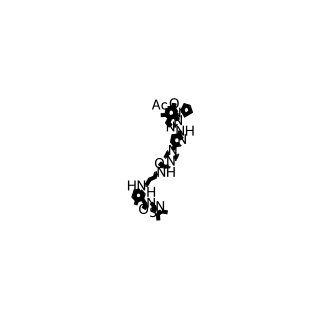 CC(=O)c1c(C)c2cnc(Nc3ccc(N4CCN(CC(=O)NCCCCNc5ccc(C)c(C(=O)Nc6nc(C)c(C)s6)c5)CC4)cn3)nc2n(C2CCCC2)c1=O